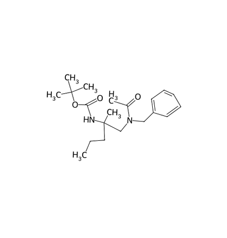 CCCC(C)(CN(Cc1ccccc1)C(C)=O)NC(=O)OC(C)(C)C